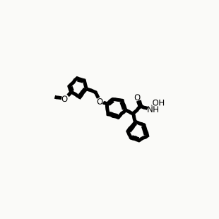 COc1cccc(COc2ccc(C(C(=O)NO)c3ccccc3)cc2)c1